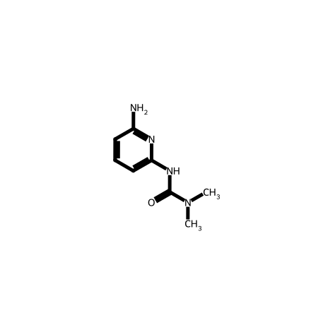 CN(C)C(=O)Nc1cccc(N)n1